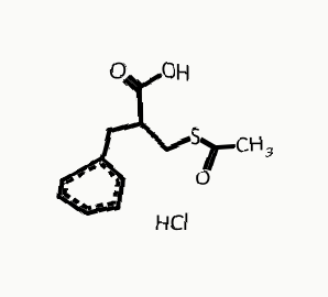 CC(=O)SCC(Cc1ccccc1)C(=O)O.Cl